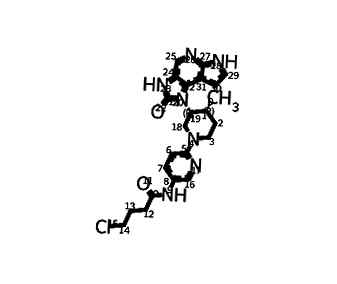 C[C@@H]1CCN(c2ccc(NC(=O)CCCCl)cn2)C[C@@H]1n1c(=O)[nH]c2cnc3[nH]ccc3c21